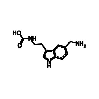 NCc1ccc2[nH]cc(CCNC(=O)O)c2c1